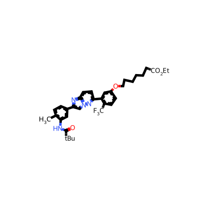 CCOC(=O)CCCCCCOc1ccc(C(F)(F)F)c(-c2ccc3nc(-c4ccc(C)c(NC(=O)C(C)(C)C)c4)cn3n2)c1